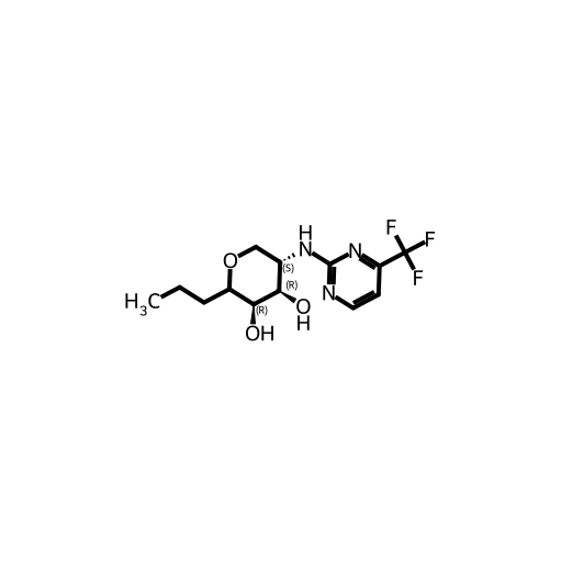 CCCC1OC[C@H](Nc2nccc(C(F)(F)F)n2)[C@@H](O)[C@H]1O